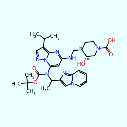 CC(C)c1cnn2c(N(C(=O)OC(C)(C)C)C(C)c3cn4ccccc4n3)cc(NC[C@H]3CCN(C(=O)O)C[C@@H]3O)nc12